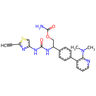 C#Cc1nc(NC(=O)NC(COC(N)=O)c2ccc(-c3cccnc3N(C)C)cc2)cs1